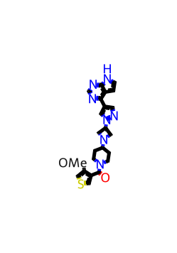 COc1cscc1C(=O)N1CCC(N2C[C](n3cc(-c4ncnc5[nH]ccc45)cn3)C2)CC1